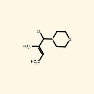 CCC(C(=CC(=O)O)C(=O)O)N1CCOCC1